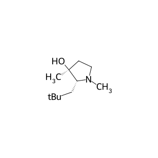 CN1CC[C@](C)(O)[C@H]1CC(C)(C)C